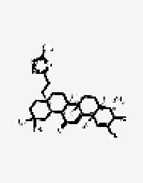 Cc1nnc(CC[C@]23CCC(C)(C)CC2C2C(=O)C=C4[C@@]5(C)C=C(C#N)C(=O)[C@@H](C)[C@@H]5CC[C@@]4(C)[C@]2(C)CC3)o1